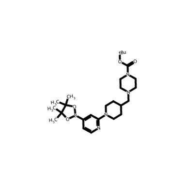 CC(C)(C)OC(=O)N1CCN(CC2CCN(c3cc(B4OC(C)(C)C(C)(C)O4)ccn3)CC2)CC1